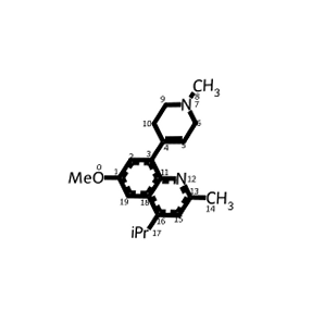 COc1cc(C2=CCN(C)CC2)c2nc(C)cc(C(C)C)c2c1